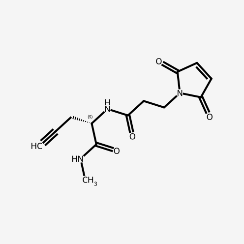 C#CC[C@H](NC(=O)CCN1C(=O)C=CC1=O)C(=O)NC